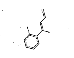 CC(=CC=O)c1ccccc1C